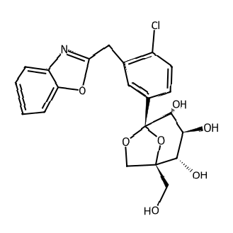 OC[C@@]12CO[C@@](c3ccc(Cl)c(Cc4nc5ccccc5o4)c3)(O1)[C@H](O)[C@@H](O)[C@@H]2O